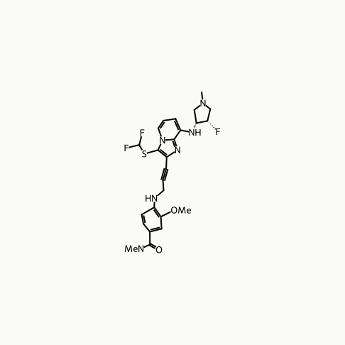 CNC(=O)c1ccc(NCC#Cc2nc3c(N[C@@H]4CN(C)C[C@@H]4F)cccn3c2SC(F)F)c(OC)c1